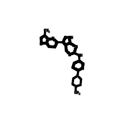 Cc1cnc2ccc(-c3c[nH]c4nc(Nc5ccc(N6CCN(C)CC6)nc5)ncc34)nn12